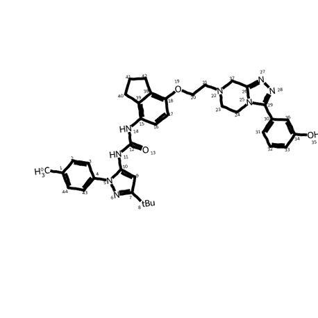 Cc1ccc(-n2nc(C(C)(C)C)cc2NC(=O)Nc2ccc(OCCN3CCn4c(nnc4-c4cccc(O)c4)C3)c3c2CCC3)cc1